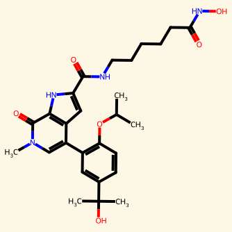 CC(C)Oc1ccc(C(C)(C)O)cc1-c1cn(C)c(=O)c2[nH]c(C(=O)NCCCCCC(=O)NO)cc12